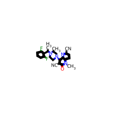 CC(c1c(F)cccc1F)N1CCN(c2c(C#N)c(=O)n(C)c3ccc(C#N)nc23)C[C@H]1C